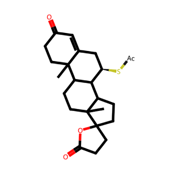 CC(=O)S[C@@H]1CC2=CC(=O)CCC2(C)C2CCC3(C)C(CCC34CCC(=O)O4)C21